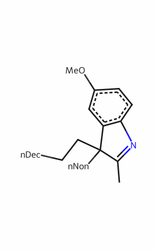 CCCCCCCCCCCCC1(CCCCCCCCC)C(C)=Nc2ccc(OC)cc21